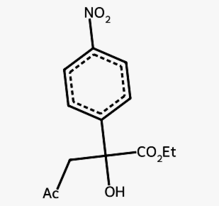 CCOC(=O)C(O)(CC(C)=O)c1ccc([N+](=O)[O-])cc1